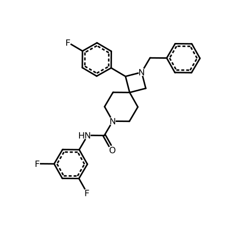 O=C(Nc1cc(F)cc(F)c1)N1CCC2(CC1)CN(Cc1ccccc1)C2c1ccc(F)cc1